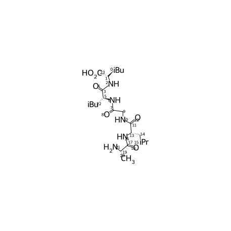 CC[C@H](C)[C@H](NC(=O)[C@@H](NC(=O)CNC(=O)[C@H](CC(C)C)NC(=O)[C@H](C)N)[C@@H](C)CC)C(=O)O